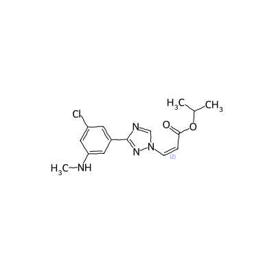 CNc1cc(Cl)cc(-c2ncn(/C=C\C(=O)OC(C)C)n2)c1